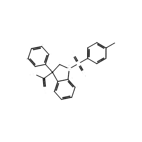 Cc1ccc(S(=O)(=O)N2CC(C(=O)O)(c3ccccc3)c3ccccc32)cc1